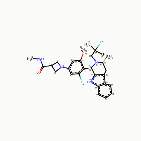 CNC(=O)C1CN(c2cc(F)c([C@@H]3c4[nH]c5ccccc5c4C[C@@H](C)N3CC(C)(C)F)c(OC)c2)C1